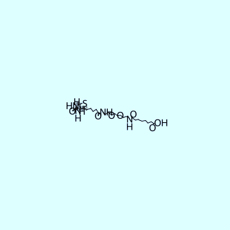 O=C(O)CCCCCCC(=O)NCCOCCOCCNC(=O)CCCC[C@@H]1SC[C@@H]2NC(=O)N[C@@H]21